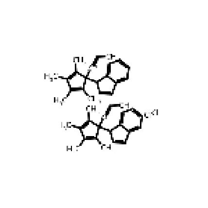 C[CH]=[Zr+][C]1(C2C=Cc3ccccc32)C(C)=C(C)C(C)=C1C.C[CH]=[Zr+][C]1(C2C=Cc3ccccc32)C(C)=C(C)C(C)=C1C.[Cl-].[Cl-]